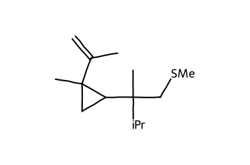 C=C(C)C1(C)CC1C(C)(CSC)C(C)C